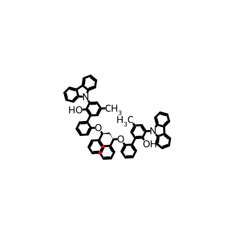 Cc1cc(-c2ccccc2O[C@@H](C[C@H](Oc2ccccc2-c2cc(C)cc(-n3c4ccccc4c4ccccc43)c2O)c2ccccc2)c2ccccc2)c(O)c(-n2c3ccccc3c3ccccc32)c1